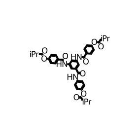 CC(C)C(=O)Oc1ccc(NC(=O)c2cc(NC(=O)c3ccc(OC(=O)C(C)C)cc3)cc(NC(=O)c3ccc(OC(=O)C(C)C)cc3)c2)cc1